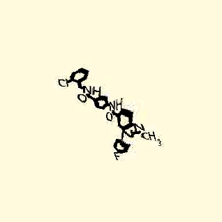 Cc1nc2ccc(C(=O)Nc3ccc(C(=O)NCc4ccccc4Cl)cc3)cc2n1-c1ccc(F)cc1